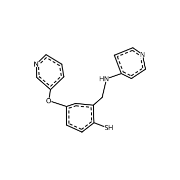 Sc1ccc(Oc2cccnc2)cc1CNc1ccncc1